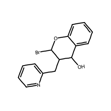 OC1c2ccccc2OC(Br)C1Cc1ccccn1